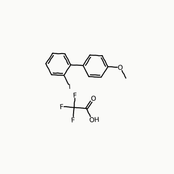 COc1ccc(-c2ccccc2I)cc1.O=C(O)C(F)(F)F